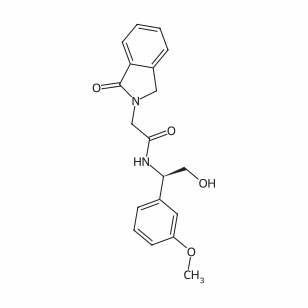 COc1cccc([C@H](CO)NC(=O)CN2Cc3ccccc3C2=O)c1